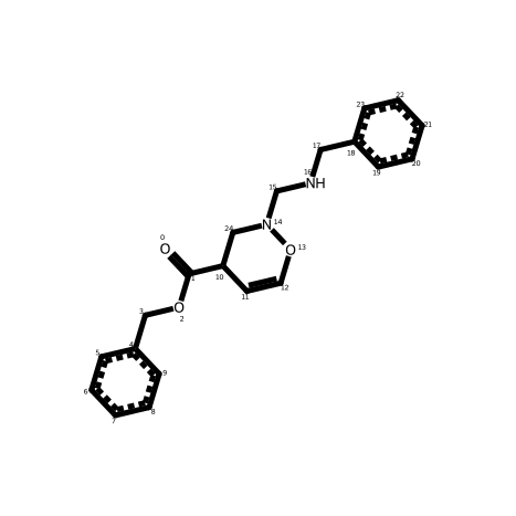 O=C(OCc1ccccc1)C1C=CON(CNCc2ccccc2)C1